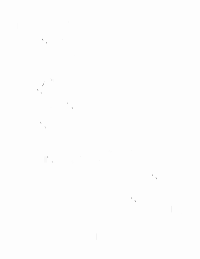 Cc1nc2c(F)cc(-c3c[nH]c4nc(N[C@@H]5CCC(=O)N(C)C5)ncc34)cc2n1CC(F)F